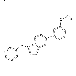 FC(F)(F)Oc1cccc(-c2ccc3c(ccn3Cc3ccccc3)c2)c1